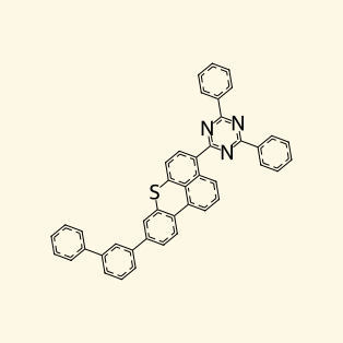 c1ccc(-c2cccc(-c3ccc4c(c3)Sc3ccc(-c5nc(-c6ccccc6)nc(-c6ccccc6)n5)c5cccc-4c35)c2)cc1